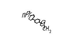 C=CC1CCC(C2CCC(C3CCC(CCC)CC3)CC2)OC1